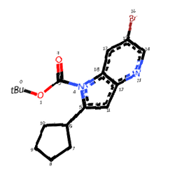 CC(C)(C)OC(=O)n1c(C2CCCC2)cc2ncc(Br)cc21